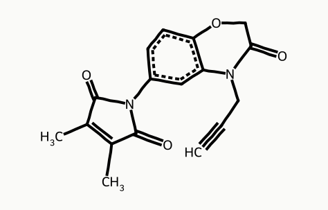 C#CCN1C(=O)COc2ccc(N3C(=O)C(C)=C(C)C3=O)cc21